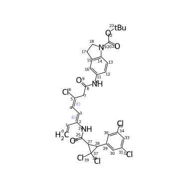 C=C/C(=C\C=C(\Cl)CC(=O)Nc1ccc2c(c1)CCN2C(=O)OC(C)(C)C)NC(=O)C1C(c2cc(Cl)cc(Cl)c2)C1(Cl)Cl